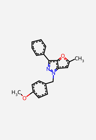 COc1ccc(Cn2nc(-c3ccccc3)c3oc(C)cc32)cc1